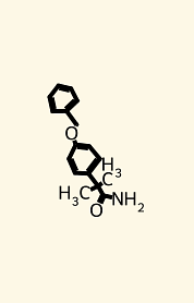 CC(C)(C(N)=O)c1ccc(OCc2ccccc2)cc1